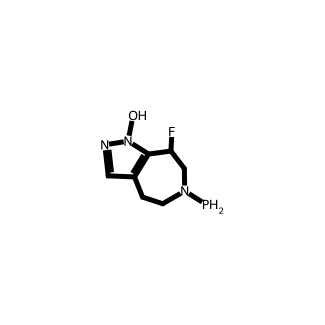 On1ncc2c1C(F)CN(P)CC2